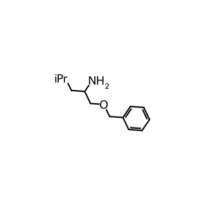 CC(C)CC(N)COCc1ccccc1